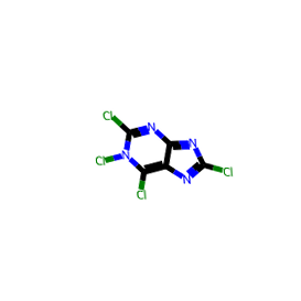 Clc1nc2nc(Cl)n(Cl)c(Cl)c-2n1